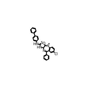 CN1C(=O)C(NC(=S)Nc2ccc(-c3ccccc3)cc2)N=C(c2ccccc2)c2cc(Cl)ccc21